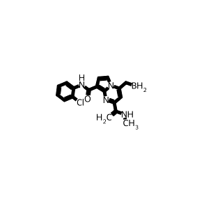 BCc1cc(C(=C)NC)nc2c(C(=O)Nc3ccccc3Cl)ccn12